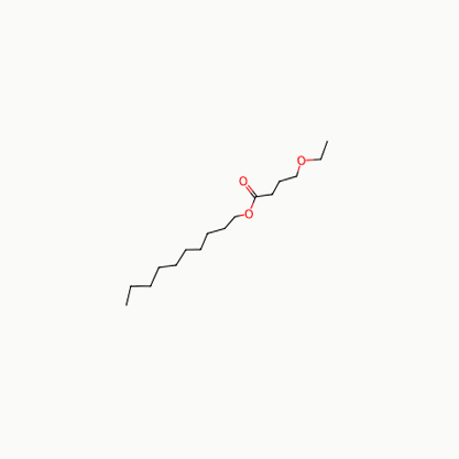 CCCCCCCCCCOC(=O)CCCOCC